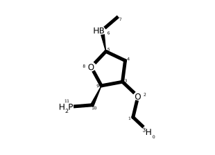 [3H]COC1C[C@H](BC)O[C@@H]1CP